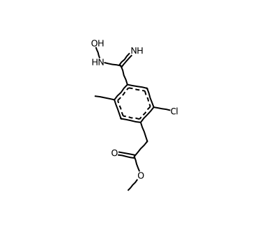 COC(=O)Cc1cc(C)c(C(=N)NO)cc1Cl